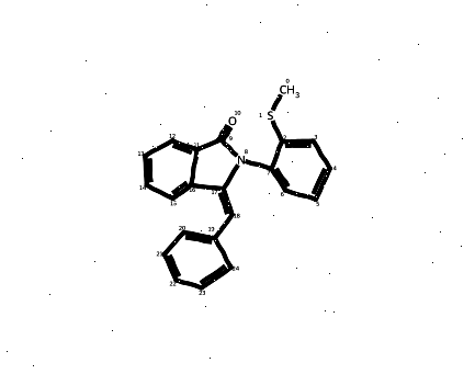 CSc1ccccc1N1C(=O)c2ccccc2C1=Cc1ccccc1